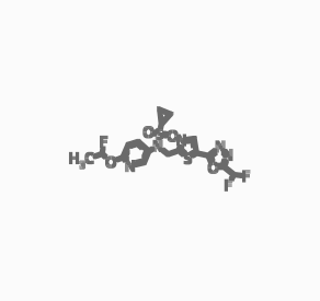 CC(F)Oc1ccc(N(Cc2ncc(-c3nnc(C(F)F)o3)s2)S(=O)(=O)C2CC2)cn1